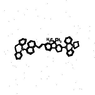 CC1(C)C2=C(CCC(N3c4ccccc4[Si]4(CCCC4)c4ccccc43)=C2)c2ccc(/C=C/c3cccc4c(N5c6ccccc6CCc6ccccc65)cccc34)cc21